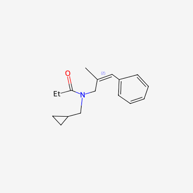 CCC(=O)N(C/C(C)=C\c1ccccc1)CC1CC1